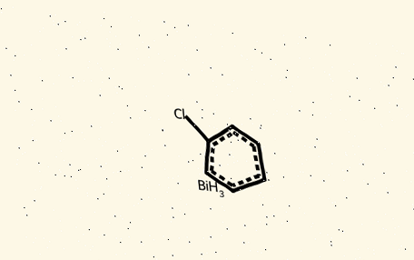 Clc1cc[c]cc1.[BiH3]